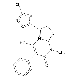 CN1C(=O)C(c2ccccc2)=C(O)[N+]2=C(c3cnc(Cl)s3)CSC12